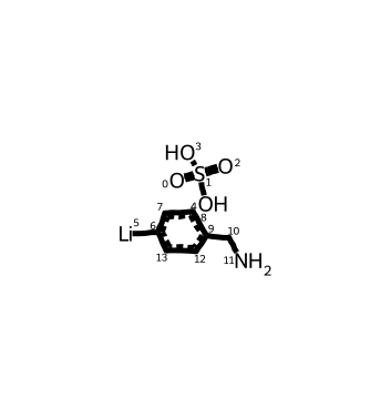 O=S(=O)(O)O.[Li][c]1ccc(CN)cc1